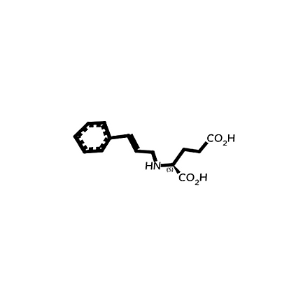 O=C(O)CC[C@H](NCC=Cc1ccccc1)C(=O)O